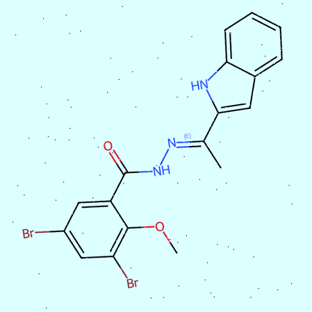 COc1c(Br)cc(Br)cc1C(=O)N/N=C(\C)c1cc2ccccc2[nH]1